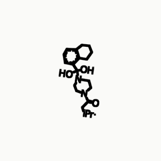 C[C](C)CC(=O)N1CCN(C(O)(O)c2cccc3c2CCCC3)CC1